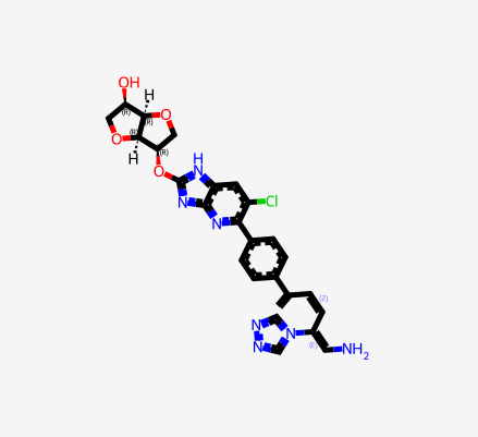 C=C(/C=C\C(=C/N)n1cnnc1)c1ccc(-c2nc3nc(O[C@@H]4CO[C@H]5[C@@H]4OC[C@H]5O)[nH]c3cc2Cl)cc1